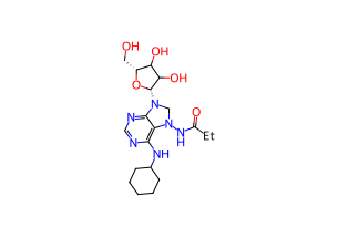 CCC(=O)NN1CN([C@@H]2O[C@H](CO)C(O)C2O)c2ncnc(NC3CCCCC3)c21